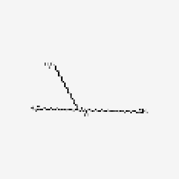 CCCCCCCCCCCCCCCCCC(=O)OCC(CCCCCCCCCCCC)CCCCCCCCCCCCCCCC